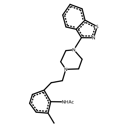 CC(=O)Nc1c(C)cccc1CCN1CCN(c2nsc3ccccc23)CC1